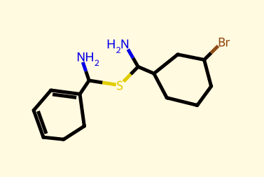 NC(SC(N)C1CCCC(Br)C1)C1=CC=CCC1